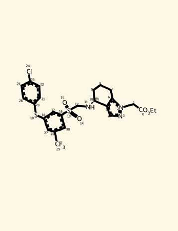 CCOC(=O)Cn1ncc2c1CCC[C@H]2NCS(=O)(=O)c1cc(Sc2ccc(Cl)cc2)cc(C(F)(F)F)c1